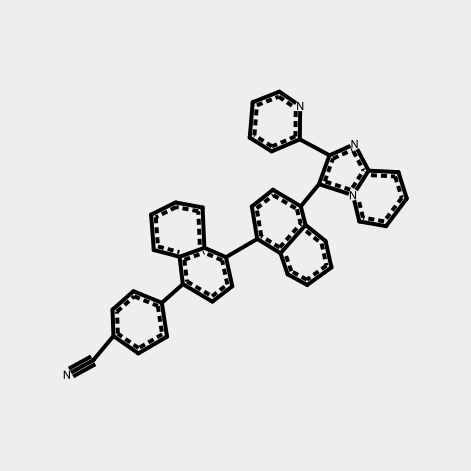 N#Cc1ccc(-c2ccc(-c3ccc(-c4c(-c5ccccn5)nc5ccccn45)c4ccccc34)c3ccccc23)cc1